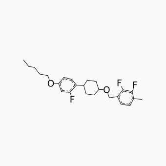 CCCCCOc1ccc(C2CCC(OCc3ccc(C)c(F)c3F)CC2)c(F)c1